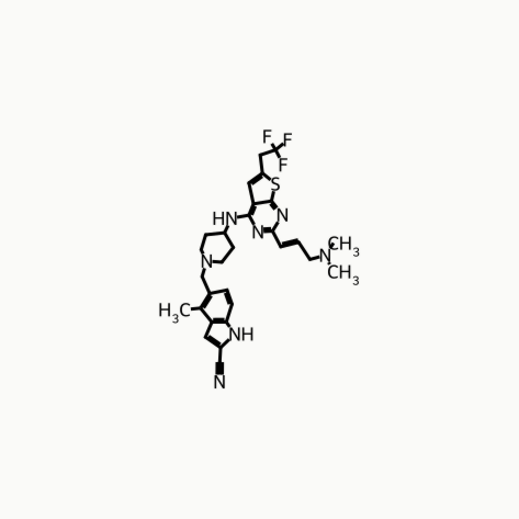 Cc1c(CN2CCC(Nc3nc(/C=C/CN(C)C)nc4sc(CC(F)(F)F)cc34)CC2)ccc2[nH]c(C#N)cc12